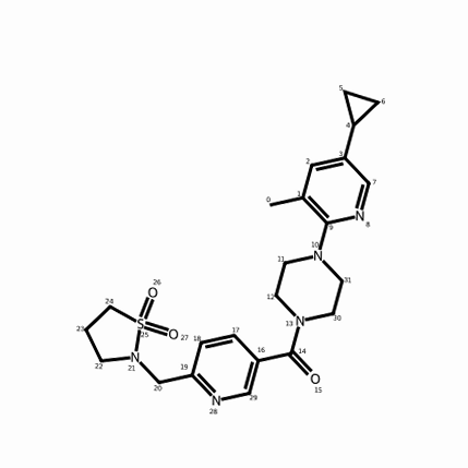 Cc1cc(C2CC2)cnc1N1CCN(C(=O)c2ccc(CN3CCCS3(=O)=O)nc2)CC1